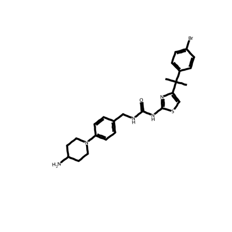 CC(C)(c1ccc(Br)cc1)c1csc(NC(=O)NCc2ccc(N3CCC(N)CC3)cc2)n1